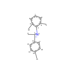 C/C(=N\c1c(C)cccc1C)c1ccc(C)cc1